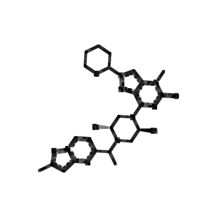 CC[C@H]1CN(C(C)c2ccn3nc(C)cc3n2)[C@H](CC)CN1c1nc(=O)n(C)c2cn(C3CCCCO3)nc12